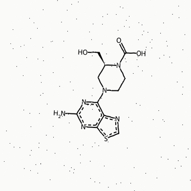 Nc1nc(N2CCN(C(=O)O)[C@H](CO)C2)c2ncsc2n1